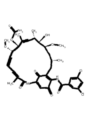 CO[C@H]1/C=C\C=C(/C)C(=O)NC2=CC(=O)C(NC(=O)c3cc(Cl)cc(Cl)c3)=C(C[C@@H](C)C[C@H](OC)[C@H](O)[C@@H](C)/C=C(\C)[C@@H]1OC(N)=O)C2=O